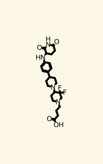 O=C(O)CCCN1CCC(N2CCC(c3ccc(NC4CCC(=O)NC4=O)cc3)CC2)C(F)(F)C1